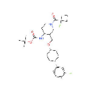 CC(C)(C)OC(=O)NC1CCN(C(=O)C2(F)CCC2)CC1CO[C@H]1CC[C@@H](c2cccc(F)c2)CC1